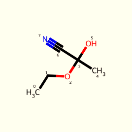 CCOC(C)(O)C#N